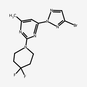 Cc1cc(-n2ncc(Br)n2)nc(N2CCC(F)(F)CC2)n1